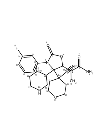 CC(C(N)=O)C1OC(=O)N(c2cccc(F)c2)C1(C1CNCCN1)C1(C#N)CCOCC1